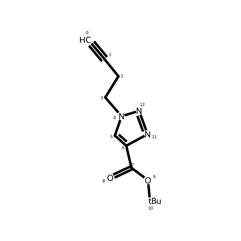 C#CCCn1cc(C(=O)OC(C)(C)C)nn1